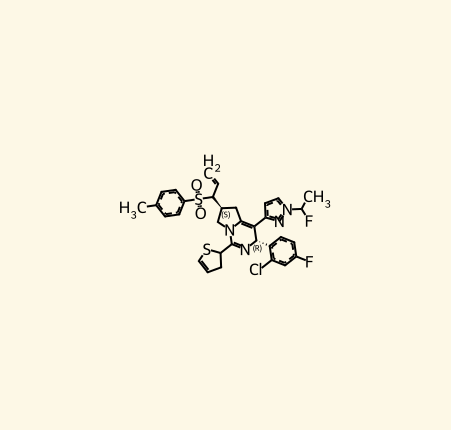 C=CC([C@H]1CC2=C(c3ccn(C(C)F)n3)[C@H](c3ccc(F)cc3Cl)N=C(C3CC=CS3)N2C1)S(=O)(=O)c1ccc(C)cc1